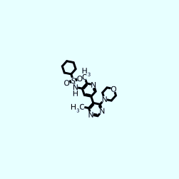 Cc1ncc(-c2c(C)ncnc2N2CCOCC2)cc1NS(=O)(=O)C1CCCCC1